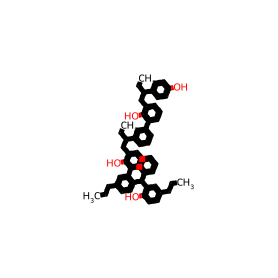 CCCc1ccc(C(c2ccccc2)c2cc(CCC)ccc2O)c(-c2cccc(CC(CC)c3cccc(-c4cccc(CC(CC)c5ccc(O)cc5)c4O)c3)c2O)c1